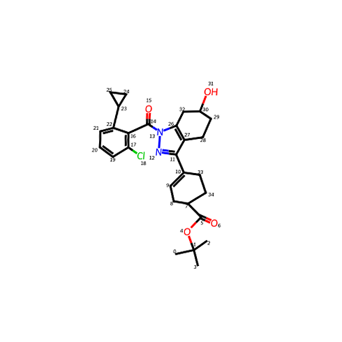 CC(C)(C)OC(=O)C1CC=C(c2nn(C(=O)c3c(Cl)cccc3C3CC3)c3c2CCC(O)C3)CC1